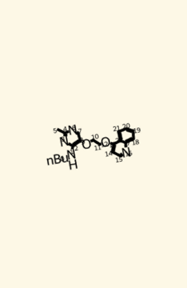 CCCCNc1nc(C)ncc1OCCOc1ccnc2ccccc12